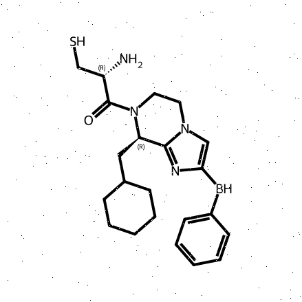 N[C@@H](CS)C(=O)N1CCn2cc(Bc3ccccc3)nc2[C@H]1CC1CCCCC1